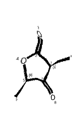 C[C@@H]1C(=O)O[C@H](C)C1=O